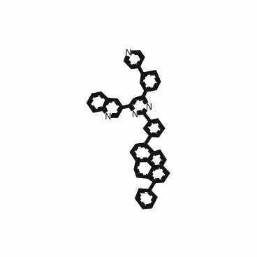 c1ccc(-c2ccc3ccc4c(-c5cccc(-c6nc(-c7cccc(-c8ccncc8)c7)cc(-c7cnc8ccccc8c7)n6)c5)ccc5ccc2c3c54)cc1